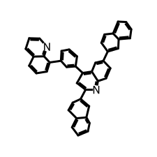 c1cc(-c2cc(-c3ccc4ccccc4c3)nc3ccc(-c4ccc5ccccc5c4)cc23)cc(-c2cccc3cccnc23)c1